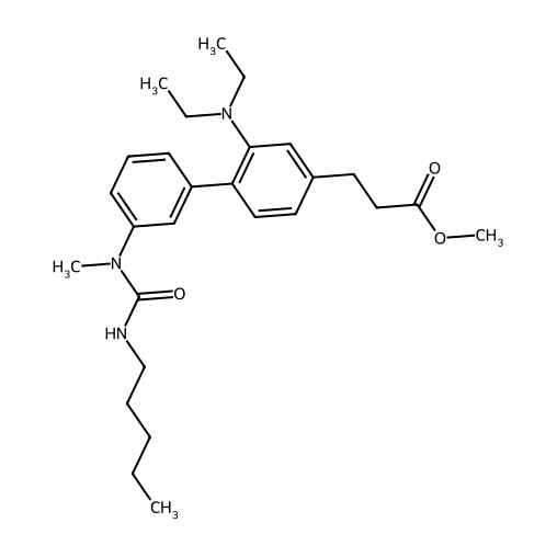 CCCCCNC(=O)N(C)c1cccc(-c2ccc(CCC(=O)OC)cc2N(CC)CC)c1